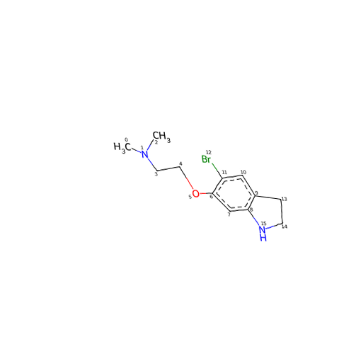 CN(C)CCOc1cc2c(cc1Br)CCN2